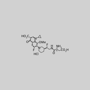 COc1c(N2CCCC(=C(F)CNC(=O)[C@@H](N)CC(=O)O)C2)c(F)cc2c(=O)c(C(=O)O)cn(C3CC3)c12.Cl